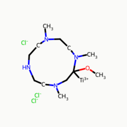 CO[C]1([Ti+3])CN(C)CCNCCN(C)CCN1C.[Cl-].[Cl-].[Cl-]